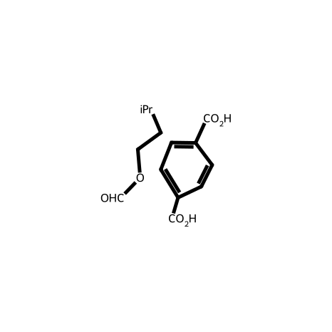 CC(C)CCOC=O.O=C(O)c1ccc(C(=O)O)cc1